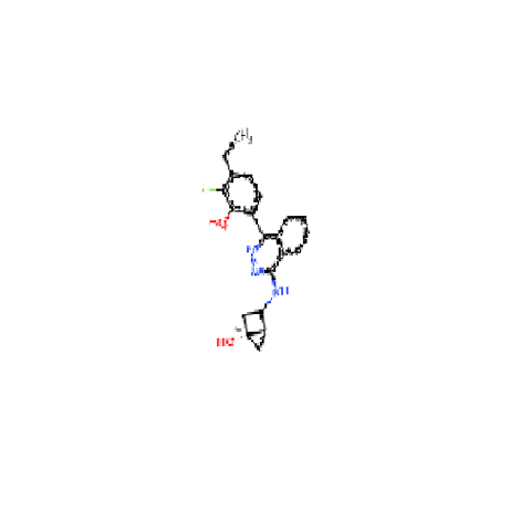 C=Cc1ccc(-c2nnc(NC3C[C@]4(O)CC34)c3ccccc23)c(O)c1F